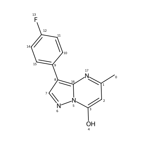 Cc1cc(O)n2ncc(-c3ccc(F)cc3)c2n1